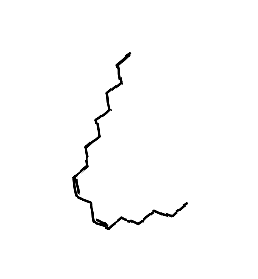 CCCCC/C=C\C/C=C\CCCCCCCCC